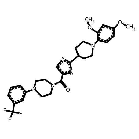 COc1ccc(N2CCC(c3nc(C(=O)N4CCN(c5cccc(C(F)(F)F)c5)CC4)cs3)CC2)c(OC)c1